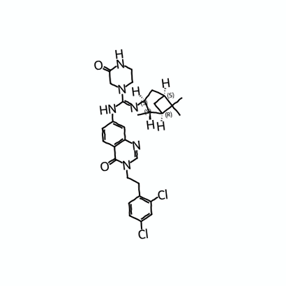 C[C@@H]1[C@@H](N=C(Nc2ccc3c(=O)n(CCc4ccc(Cl)cc4Cl)cnc3c2)N2CCNC(=O)C2)C[C@@H]2C[C@H]1C2(C)C